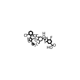 CCC1CC(O)(c2nc3c(F)cc(C(=O)O)cc3s2)C[C@H](C)C1OCc1c(-c2c(Cl)cccc2Cl)noc1C1CC1